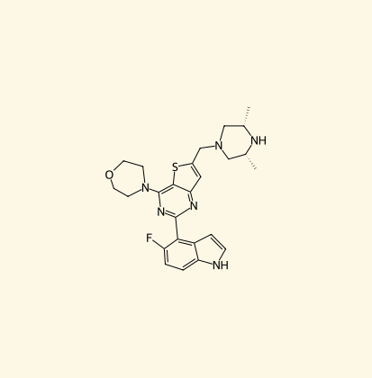 C[C@@H]1CN(Cc2cc3nc(-c4c(F)ccc5[nH]ccc45)nc(N4CCOCC4)c3s2)C[C@H](C)N1